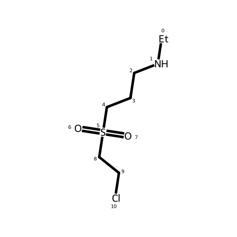 CCNCCCS(=O)(=O)CCCl